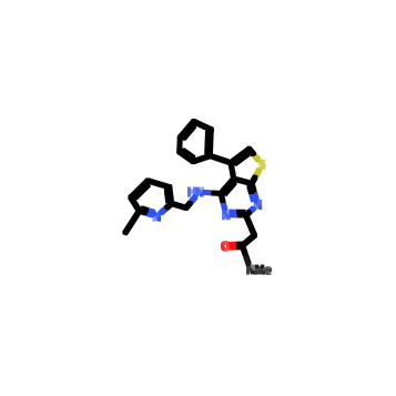 CNC(=O)Cc1nc(NCc2cccc(C)n2)c2c(-c3ccccc3)csc2n1